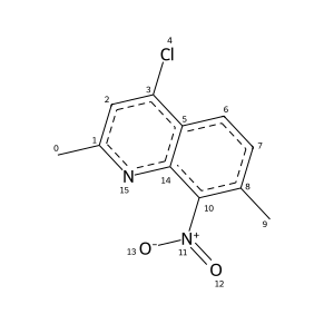 Cc1cc(Cl)c2ccc(C)c([N+](=O)[O-])c2n1